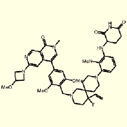 C=CC1(F)CCN(Cc2c(OC)cc(-c3cn(C)c(=O)c4cnc(N5CC(OC)C5)cc34)cc2OC)CC12CCN(c1cccc(NC3CCC(=O)NC3=O)c1NC)CC2